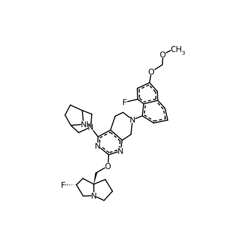 COCOc1cc(F)c2c(N3CCc4c(nc(OC[C@@]56CCCN5C[C@H](F)C6)nc4N4CC5CCC(C4)N5)C3)cccc2c1